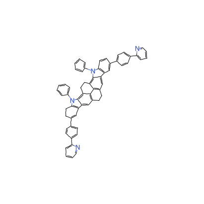 C1=C(c2ccc(-c3ccccn3)cc2)CCc2c1c1cc3c4c(c1n2-c1ccccc1)CCc1c-4c(cc2c4cc(-c5ccc(-c6ccccn6)cc5)ccc4n(-c4ccccc4)c12)CC3